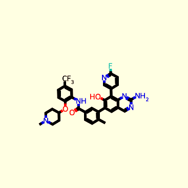 Cc1ccc(C(=O)Nc2cc(C(F)(F)F)ccc2OC2CCN(C)CC2)cc1-c1cc2cnc(N)nc2c(-c2ccc(F)nc2)c1O